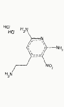 Cl.Cl.NCCc1cc(N)nc(N)c1[N+](=O)[O-]